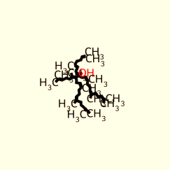 CC(C)=CCCC(C)=CCCC(C)=CC/C(=C(/C)CCC=C(C)C)C(O)(CC=C(C)CCC=C(C)CCC=C(C)C)C/C=C(\C)CCC=C(C)C